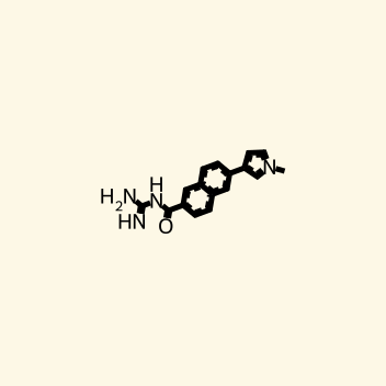 Cn1ccc(-c2ccc3cc(C(=O)NC(=N)N)ccc3c2)c1